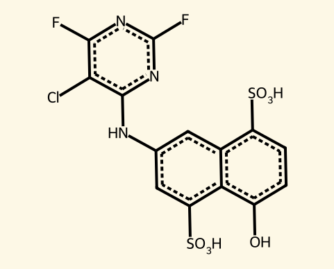 O=S(=O)(O)c1ccc(O)c2c(S(=O)(=O)O)cc(Nc3nc(F)nc(F)c3Cl)cc12